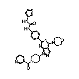 O=C(Nc1ccc(-c2nc(N3CCOCC3)c3cnn(C4CCN(C(=O)c5cccnc5)CC4)c3n2)cc1)Nc1ccsc1